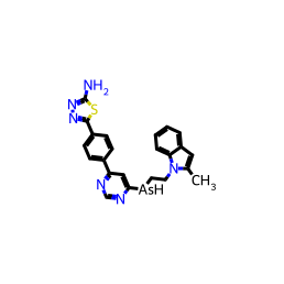 Cc1cc2ccccc2n1CC[AsH]c1cc(-c2ccc(-c3nnc(N)s3)cc2)ncn1